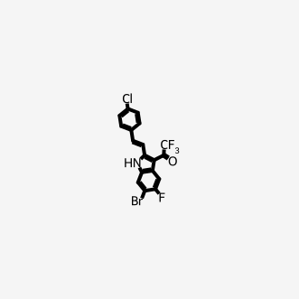 O=C(c1c(C=Cc2ccc(Cl)cc2)[nH]c2cc(Br)c(F)cc12)C(F)(F)F